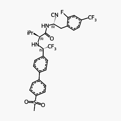 CC(C)[C@H](N[C@@H](c1ccc(-c2ccc(S(C)(=O)=O)cc2)cc1)C(F)(F)F)C(=O)N[C@H](C#N)Cc1ccc(C(F)(F)F)cc1F